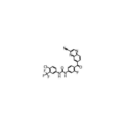 N#Cc1cnc2ccc(C(=O)c3ccc(NC(=O)Nc4ccc(Cl)c(C(F)(F)F)c4)cc3F)cc2n1